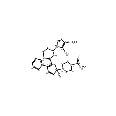 CCOC(=O)c1cnn(C2CCCN(C3=C(c4ccccc4)C=CC(Cl)(N4CCN(C(=O)NC)CC4)C3)C2)c1C(F)(F)F